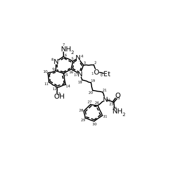 CCOCc1nc2c(N)nc3ccc(O)cc3c2n1CCCCN(C(N)=O)c1ccccc1